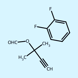 C#CC(C)(C)OC=O.Fc1ccccc1F